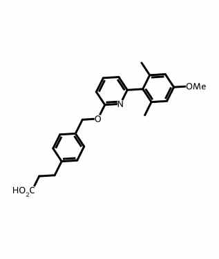 COc1cc(C)c(-c2cccc(OCc3ccc(CCC(=O)O)cc3)n2)c(C)c1